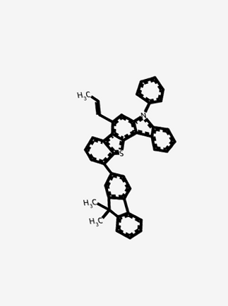 C/C=C/c1cc2c(c3ccccc3n2-c2ccccc2)c2sc3c(-c4ccc5c(c4)C(C)(C)c4ccccc4-5)cccc3c12